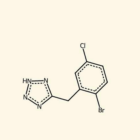 Clc1ccc(Br)c(Cc2nn[nH]n2)c1